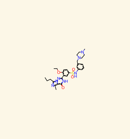 CCCc1nc(C)c2c(=O)[nH]c(-c3cc(S(=O)(=O)Nc4cccc(CN5CCN(C)CC5)c4)ccc3OCC)nn12